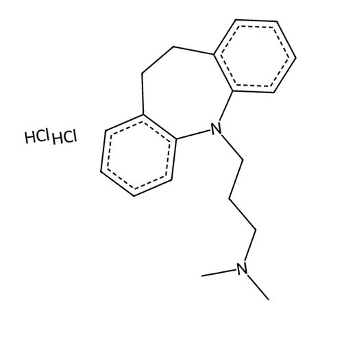 CN(C)CCCN1c2ccccc2CCc2ccccc21.Cl.Cl